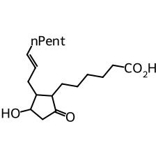 CCCCCC=CCC1C(O)CC(=O)C1CCCCCC(=O)O